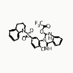 N=C1c2ccccc2NC(OC(=O)C(F)(F)F)N1c1cc(S(=O)(=O)N2CCCc3ccccc32)ccc1Cl